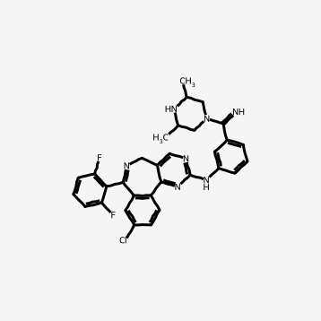 CC1CN(C(=N)c2cccc(Nc3ncc4c(n3)-c3ccc(Cl)cc3C(c3c(F)cccc3F)=NC4)c2)CC(C)N1